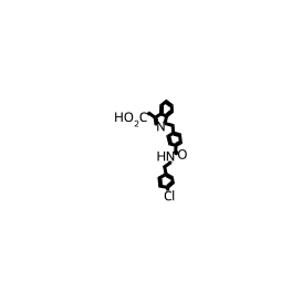 O=C(O)Cc1cnc(Cc2ccc(C(=O)NCCc3ccc(Cl)cc3)cc2)c2ccccc12